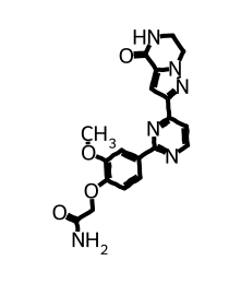 COc1cc(-c2nccc(-c3cc4n(n3)CCNC4=O)n2)ccc1OCC(N)=O